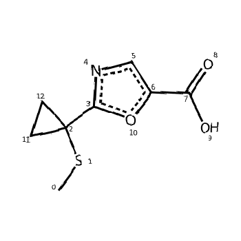 CSC1(c2ncc(C(=O)O)o2)CC1